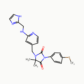 CC1(C)C(=O)N(c2ccc(SC(F)(F)F)cc2)C(=O)N1Cc1ccnc(NCc2ncc[nH]2)c1